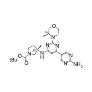 C[C@H]1COCCN1c1nc(N[C@@]2(C)CCN(C(=O)OC(C)(C)C)C2)cc(-c2cnc(N)nc2)n1